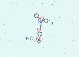 Cc1oc(-c2ccccc2)nc1CCCOc1ccc(OC2(C(=O)O)CCC2)cc1